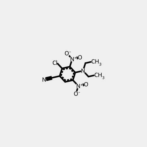 CCN(CC)c1c([N+](=O)[O-])cc(C#N)c(Cl)c1[N+](=O)[O-]